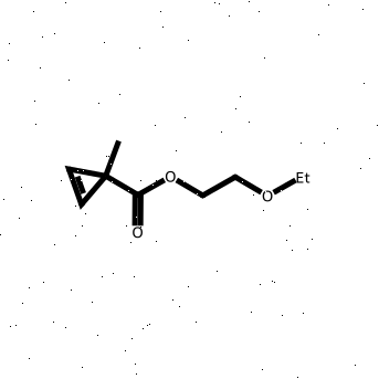 CCOCCOC(=O)C1(C)C=C1